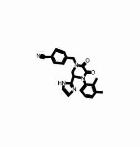 Cc1cccc(N2C(=O)C(=O)N(Cc3ccc(C#N)cc3)CC2c2ncc[nH]2)c1C